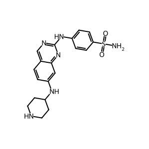 NS(=O)(=O)c1ccc(Nc2ncc3ccc(NC4CCNCC4)cc3n2)cc1